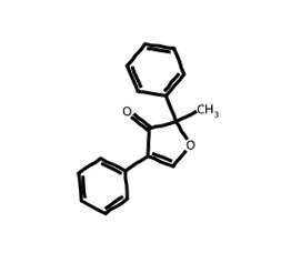 CC1(c2ccccc2)OC=C(c2ccccc2)C1=O